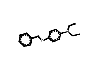 CCN(CC)c1ccc(OCc2ccccc2)cc1